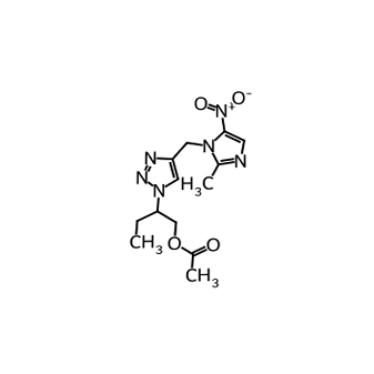 CCC(COC(C)=O)n1cc(Cn2c([N+](=O)[O-])cnc2C)nn1